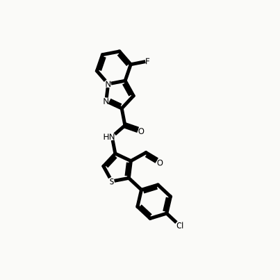 O=Cc1c(NC(=O)c2cc3c(F)cccn3n2)csc1-c1ccc(Cl)cc1